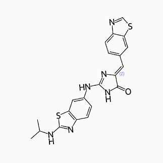 CC(C)Nc1nc2ccc(NC3=N/C(=C\c4ccc5ncsc5c4)C(=O)N3)cc2s1